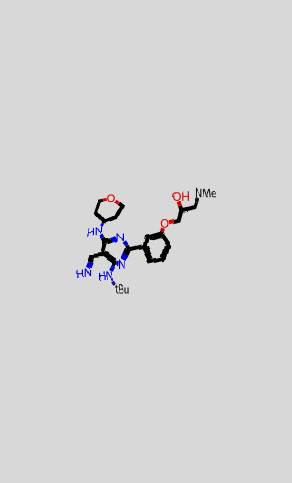 CNCC(O)COc1cccc(-c2nc(NC3CCOCC3)c(C=N)c(NC(C)(C)C)n2)c1